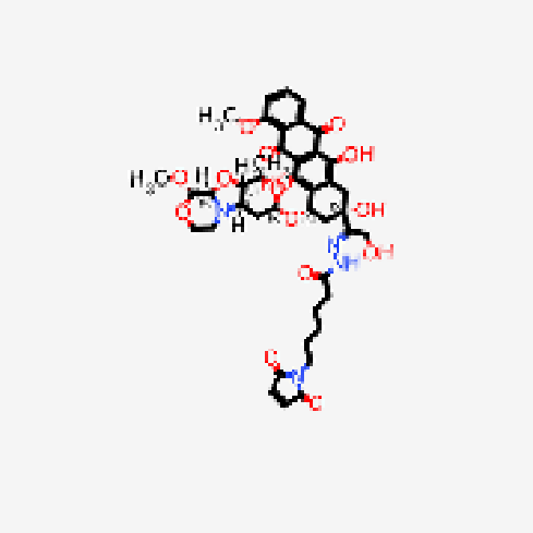 COc1cccc2c1C(=O)c1c(O)c3c(c(O)c1C2=O)C[C@@](O)(C(CO)=NNC(=O)CCCCCN1C(=O)C=CC1=O)C[C@@H]3O[C@H]1C[C@H]2[C@H](O[C@@H]3[C@@H](OC)OCCN32)[C@H](C)O1